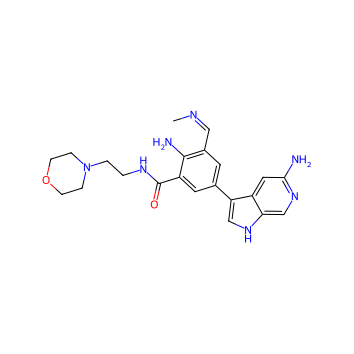 C/N=C\c1cc(-c2c[nH]c3cnc(N)cc23)cc(C(=O)NCCN2CCOCC2)c1N